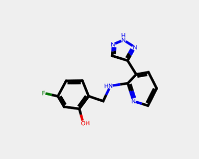 Oc1cc(F)ccc1CNc1ncccc1-c1cn[nH]n1